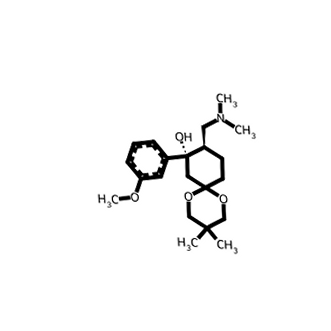 COc1cccc([C@]2(O)CC3(CC[C@@H]2CN(C)C)OCC(C)(C)CO3)c1